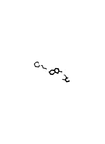 Cc1ccsc1CNC(=O)c1ccc2cc(OCCCN3CCCCC3)ccc2c1